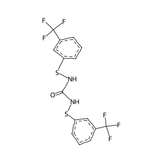 O=C(NSc1cccc(C(F)(F)F)c1)NSc1cccc(C(F)(F)F)c1